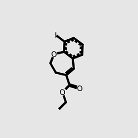 CCOC(=O)C1=Cc2cccc(I)c2OCC1